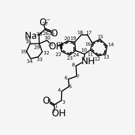 O=C(O)CCCCCCNC1c2ccccc2CCc2ccccc21.O=C([O-])CC1(CO)CCCCC1.[Na+]